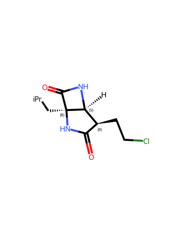 CC(C)C[C@@]12NC(=O)[C@H](CCCl)[C@@H]1NC2=O